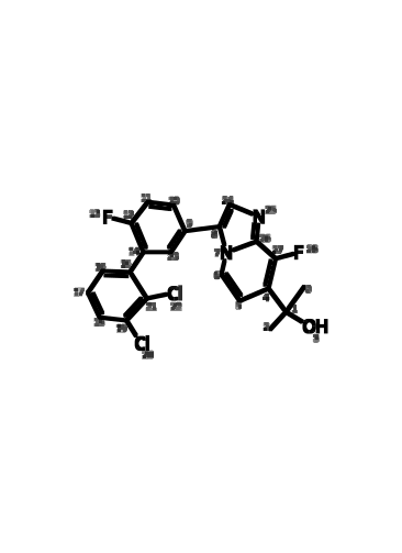 CC(C)(O)c1ccn2c(-c3ccc(F)c(-c4cccc(Cl)c4Cl)c3)cnc2c1F